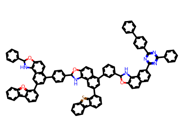 c1ccc(-c2ccc(-c3nc(-c4ccccc4)nc(-c4ccc5ccc6c(c5c4)NC(c4cccc(-c5cc(-c7cccc8c7sc7ccccc78)cc7c8c(ccc57)OC(c5ccc(-c7cc(-c9cccc%10c9oc9ccccc9%10)cc9c%10c(ccc79)OC(c7ccccc7)N%10)cc5)N8)c4)O6)n3)cc2)cc1